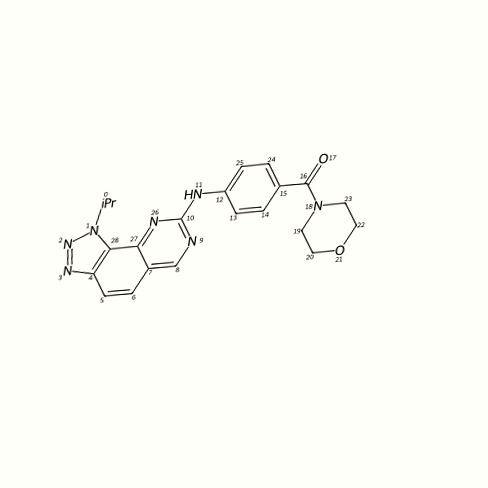 CC(C)n1nnc2ccc3cnc(Nc4ccc(C(=O)N5CCOCC5)cc4)nc3c21